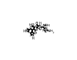 Nc1nc(C(=NO)C(=O)N[C@@H]2C(=O)N3C(C(=O)O)=C(C(CC4CNC4)=C4CCNC4=O)CS[C@H]23)ns1